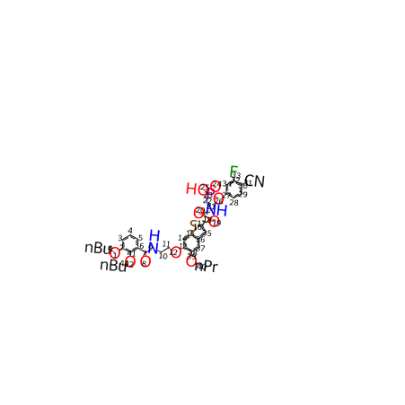 CCCCOc1cccc(C(=O)NCCOc2cc3sc(S(=O)(=O)NCP(=O)(O)Oc4ccc(C#N)c(F)c4)cc3cc2OCCC)c1OCCCC